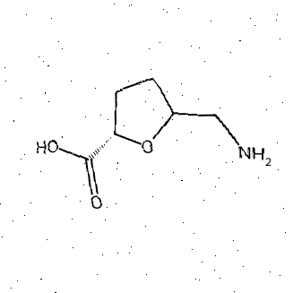 NCC1CC[C@@H](C(=O)O)O1